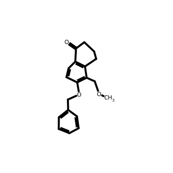 COCc1c(OCc2ccccc2)ccc2c1CCCC2=O